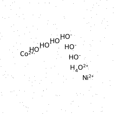 [Co+2].[Ni+2].[OH-].[OH-].[OH-].[OH-].[OH-].[OH-].[OH4+2]